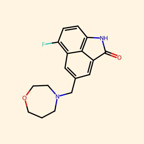 O=C1Nc2ccc(F)c3cc(CN4CCCOCC4)cc1c23